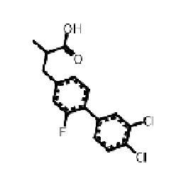 CC(Cc1ccc(-c2ccc(Cl)c(Cl)c2)c(F)c1)C(=O)O